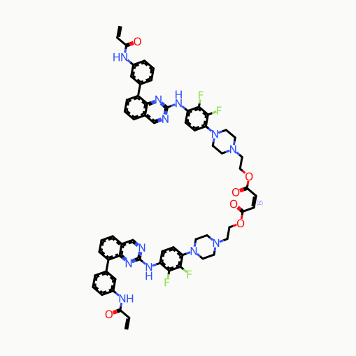 C=CC(=O)Nc1cccc(-c2cccc3cnc(Nc4ccc(N5CCN(CCOC(=O)/C=C\C(=O)OCCN6CCN(c7ccc(Nc8ncc9cccc(-c%10cccc(NC(=O)C=C)c%10)c9n8)c(F)c7F)CC6)CC5)c(F)c4F)nc23)c1